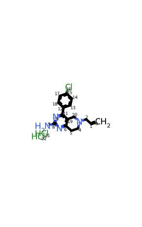 C=CCN1CCc2nc(N)nc(-c3ccc(Cl)cc3)c2C1.Cl.Cl